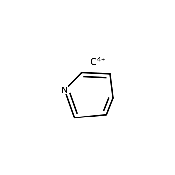 [C+4].c1ccncc1